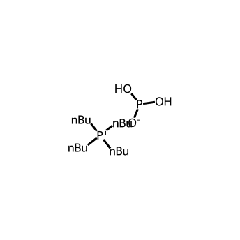 CCCC[P+](CCCC)(CCCC)CCCC.[O-]P(O)O